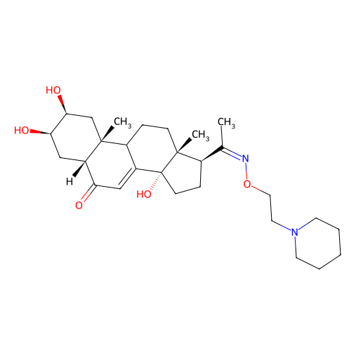 C/C(=N/OCCN1CCCCC1)[C@H]1CC[C@@]2(O)C3=CC(=O)[C@@H]4C[C@@H](O)[C@@H](O)C[C@]4(C)C3CC[C@]12C